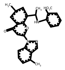 Cc1cc(C(C)Nc2ccccc2C(=O)O)c2oc(-n3ncc4c(C)cccc43)cc(=O)c2c1